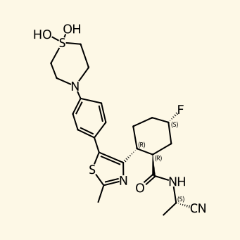 Cc1nc([C@@H]2CC[C@H](F)C[C@H]2C(=O)N[C@@H](C)C#N)c(-c2ccc(N3CCS(O)(O)CC3)cc2)s1